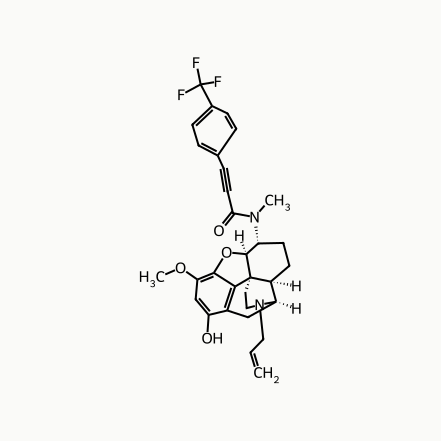 C=CCN1CC[C@]23c4c5c(O)cc(OC)c4O[C@H]2[C@H](N(C)C(=O)C#Cc2ccc(C(F)(F)F)cc2)CC[C@H]3[C@H]1C5